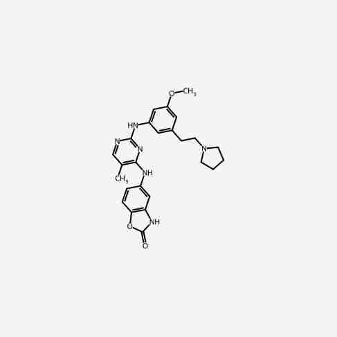 COc1cc(CCN2CCCC2)cc(Nc2ncc(C)c(Nc3ccc4oc(=O)[nH]c4c3)n2)c1